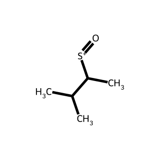 CC(C)C(C)[S+]=O